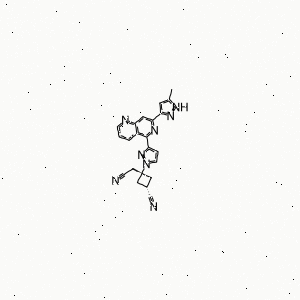 Cc1cc(-c2cc3ncccc3c(-c3ccn([C@]4(CC#N)C[C@H](C#N)C4)n3)n2)n[nH]1